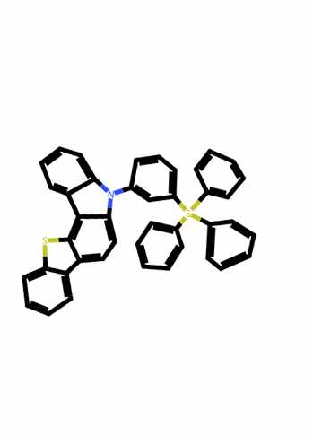 c1ccc(S(c2ccccc2)(c2ccccc2)c2cccc(-n3c4ccccc4c4c5sc6ccccc6c5ccc43)c2)cc1